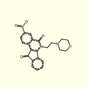 O=C1c2ccccc2-c2c1c1ccc([N+](=O)[O-])cc1c(=O)n2CCN1CCOCC1